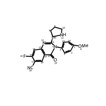 COc1ccc(-n2c([C@H]3CCCN3)nc3cc(F)c(C#N)cc3c2=O)cc1